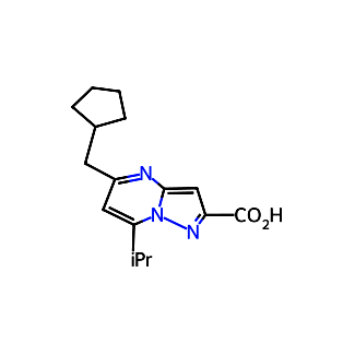 CC(C)c1cc(CC2CCCC2)nc2cc(C(=O)O)nn12